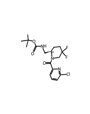 CC(C)(C)OC(=O)NC[C@H]1CCC(F)(F)CN1C(=O)c1cccc(Cl)n1